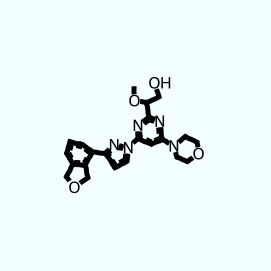 COC(CO)c1nc(N2CCOCC2)cc(-n2ccc(-c3cccc4c3COC4)n2)n1